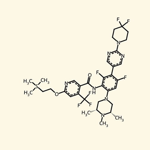 C[C@@H]1CN(c2cc(F)c(-c3cnc(N4CCC(F)(F)CC4)nc3)c(F)c2NC(=O)c2cnc(OCCS(C)(C)C)cc2C(F)(F)F)C[C@H](C)N1C